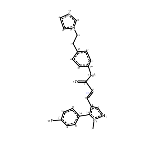 Cn1ncc(/C=C/C(=O)Nc2ccc(CCn3ccnc3)cc2)c1-c1ccc(F)cc1